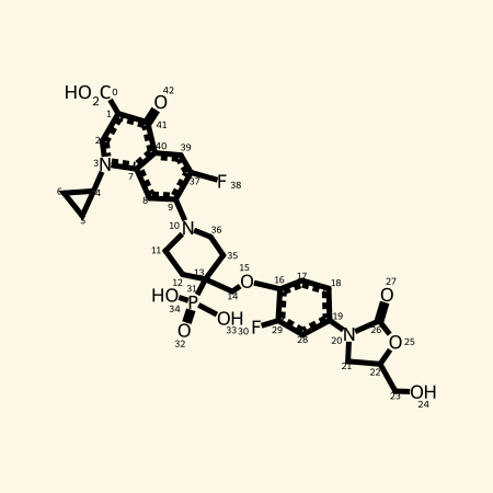 O=C(O)c1cn(C2CC2)c2cc(N3CCC(COc4ccc(N5CC(CO)OC5=O)cc4F)(P(=O)(O)O)CC3)c(F)cc2c1=O